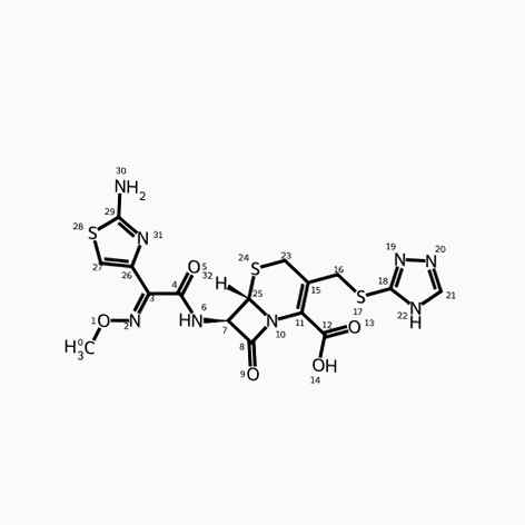 CON=C(C(=O)N[C@@H]1C(=O)N2C(C(=O)O)=C(CSc3nnc[nH]3)CS[C@@H]12)c1csc(N)n1